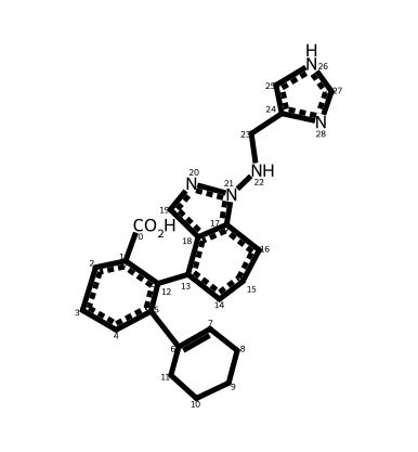 O=C(O)c1cccc(C2=CCCCC2)c1-c1cccc2c1cnn2NCc1c[nH]cn1